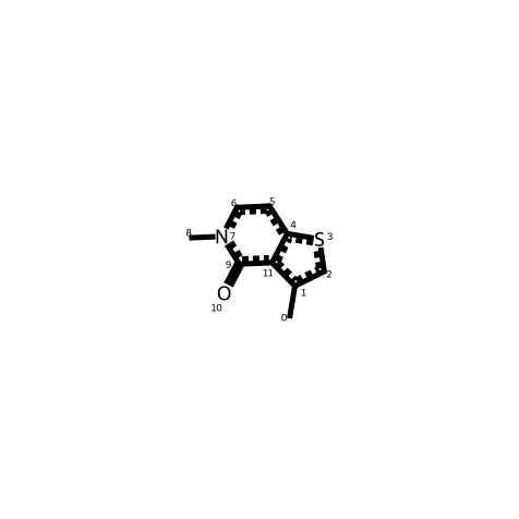 Cc1csc2ccn(C)c(=O)c12